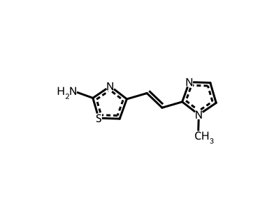 Cn1ccnc1C=Cc1csc(N)n1